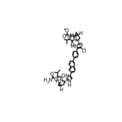 COC(=O)N[C@H](C(=O)N1[C@@H]2C[C@@H]2C[C@H]1c1nc(Cl)c(-c2ccc(-c3ccc4cc(-c5c[nH]c([C@@H]6C[C@H]7C[C@H]7N6C(=O)[C@@H](OC(N)=O)C(C)C)n5)ccc4c3)cc2)[nH]1)C(C)C